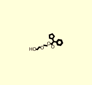 O=C(OCCOCCO)C(c1ccccc1)C1CCCC1